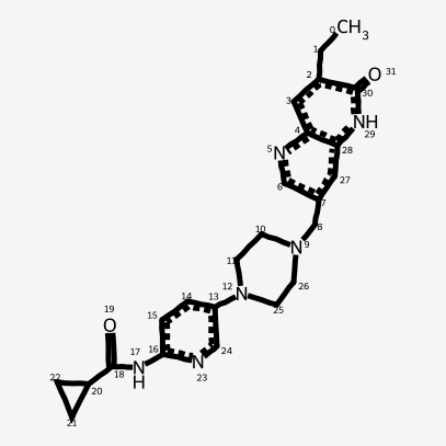 CCc1cc2ncc(CN3CCN(c4ccc(NC(=O)C5CC5)nc4)CC3)cc2[nH]c1=O